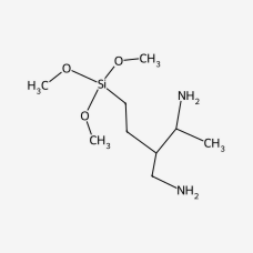 CO[Si](CCC(CN)C(C)N)(OC)OC